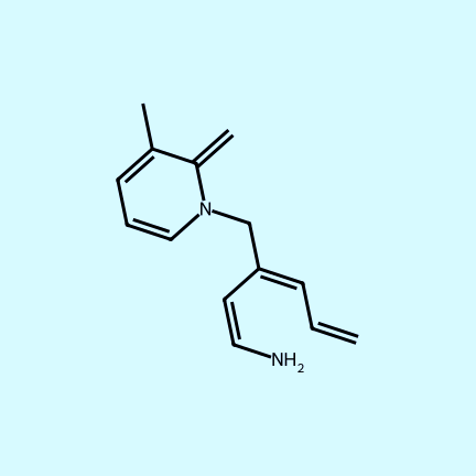 C=C/C=C(\C=C/N)CN1C=CC=C(C)C1=C